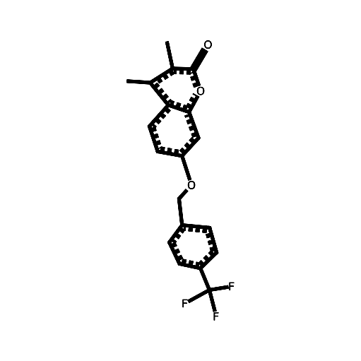 Cc1c(C)c2ccc(OCc3ccc(C(F)(F)F)cc3)cc2oc1=O